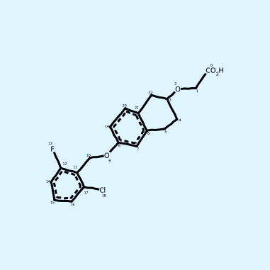 O=C(O)COC1CCc2cc(OCc3c(F)cccc3Cl)ccc2C1